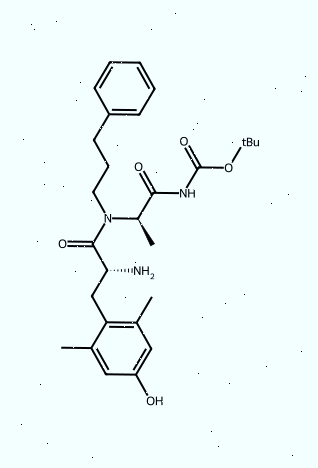 Cc1cc(O)cc(C)c1C[C@@H](N)C(=O)N(CCCc1ccccc1)[C@H](C)C(=O)NC(=O)OC(C)(C)C